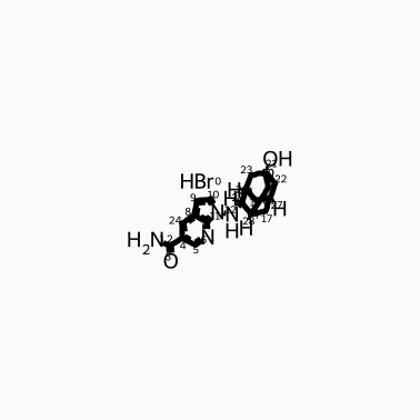 Br.NC(=O)c1cnc2c(ccn2N[C@@H]2[C@@H]3C[C@@H]4C[C@H]2C[C@@](O)(C4)C3)c1